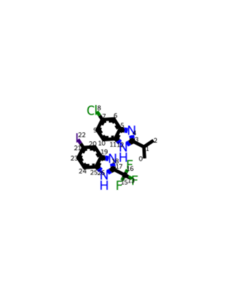 CC(C)c1nc2cc(Cl)ccc2[nH]1.FC(F)(F)c1nc2cc(I)ccc2[nH]1